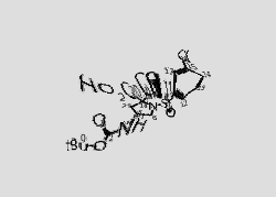 CC(C)(C)OC(=O)N[C@H]1CN(S(=O)(=O)c2cccc(Cl)c2)[C@](C)(C(=O)O)C1